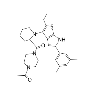 CCc1sc2[nH]c(-c3cc(C)cc(C)c3)cc2c1N1CCCCC1C(=O)N1CCN(C(C)=O)CC1